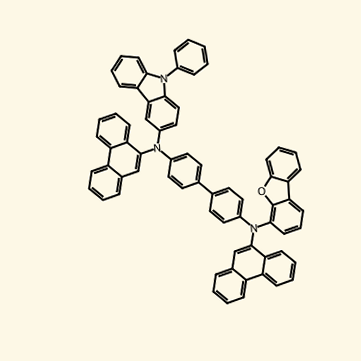 c1ccc(-n2c3ccccc3c3cc(N(c4ccc(-c5ccc(N(c6cc7ccccc7c7ccccc67)c6cccc7c6oc6ccccc67)cc5)cc4)c4cc5ccccc5c5ccccc45)ccc32)cc1